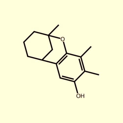 Cc1c(O)cc2c(c1C)OC1(C)CCCC2C1